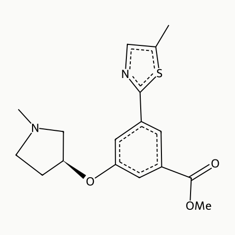 COC(=O)c1cc(O[C@H]2CCN(C)C2)cc(-c2ncc(C)s2)c1